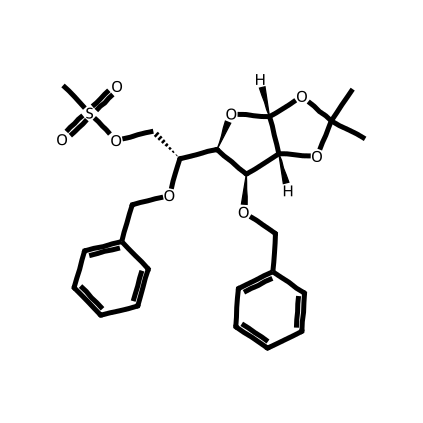 CC1(C)O[C@H]2O[C@H]([C@@H](COS(C)(=O)=O)OCc3ccccc3)[C@H](OCc3ccccc3)[C@H]2O1